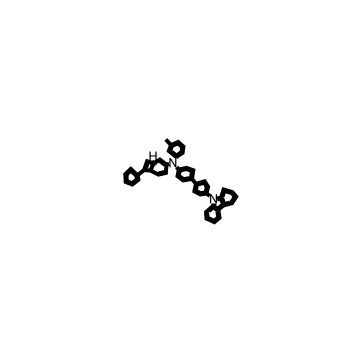 Cc1cccc(N(C2=C[C@@H]3C=C(c4ccccc4)C3C=C2)c2ccc(-c3ccc(-n4c5ccccc5c5ccccc54)cc3)cc2)c1